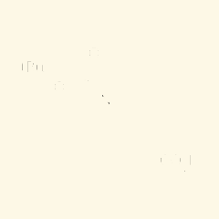 CC(C)(C)OC(=O)N1CCC(C(=O)O)CC1I